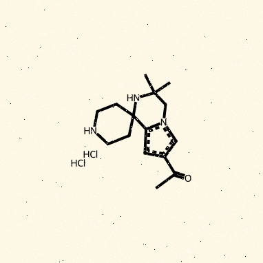 CC(=O)c1cc2n(c1)CC(C)(C)NC21CCNCC1.Cl.Cl